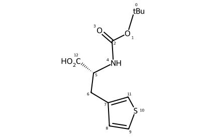 CC(C)(C)OC(=O)N[C@H](Cc1ccsc1)C(=O)O